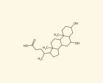 CC(CCC(=O)O)C1CCC2C3CC(O)C4CC(O)CCC4(C)C3CCC12C